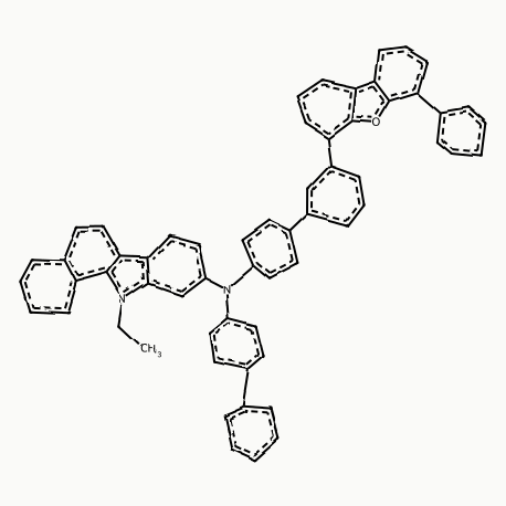 CCn1c2cc(N(c3ccc(-c4ccccc4)cc3)c3ccc(-c4cccc(-c5cccc6c5oc5c(-c7ccccc7)cccc56)c4)cc3)ccc2c2ccc3ccccc3c21